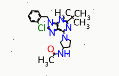 CC(=O)NC1CCN(c2nc(C(C)(C)C)nc3c2ncn3Cc2ccccc2Cl)C1